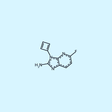 Nc1nc2ccc(F)nc2n1C1=CC=C1